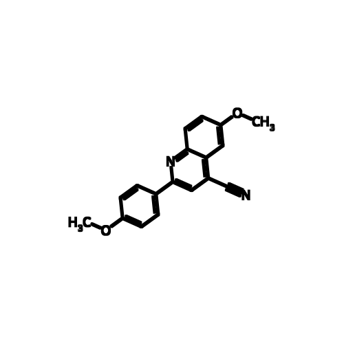 COc1ccc(-c2cc(C#N)c3cc(OC)ccc3n2)cc1